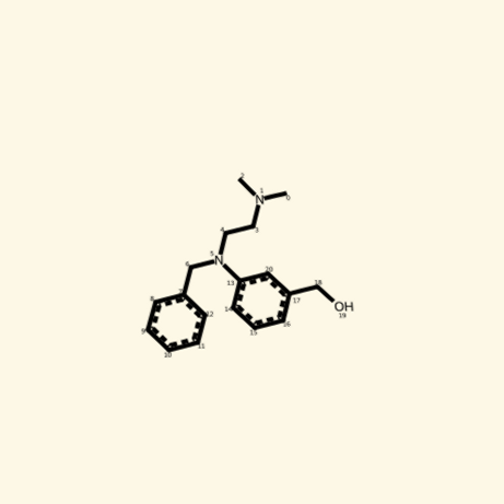 CN(C)CCN(Cc1ccccc1)c1cccc(CO)c1